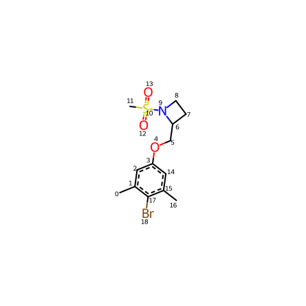 Cc1cc(OCC2CCN2S(C)(=O)=O)cc(C)c1Br